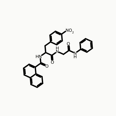 O=C(CNC(=O)C(Cc1ccc([N+](=O)[O-])cc1)NC(=O)c1cccc2ccccc12)Nc1ccccc1